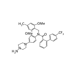 COc1cc(C)cc(OC)c1CN(C(=O)c1ccccc1-c1ccc(C(F)(F)F)cc1)c1ccc(N2CCN(N)CC2)cc1